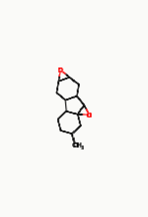 CC1CCC2C3CC4OC4CC3C3OC23C1